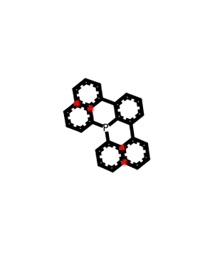 c1ccc(-c2cccc(-c3ccccc3)c2P(c2ccccc2)c2ccccc2)cc1